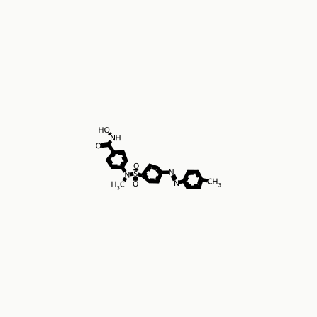 Cc1ccc(N=Nc2ccc(S(=O)(=O)N(C)c3ccc(C(=O)NO)cc3)cc2)cc1